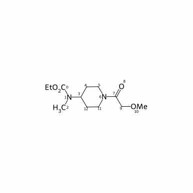 CCOC(=O)N(C)C1CCN(C(=O)COC)CC1